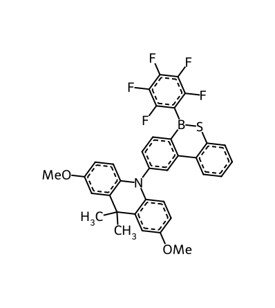 COc1ccc2c(c1)C(C)(C)c1cc(OC)ccc1N2c1ccc2c(c1)-c1ccccc1SB2c1c(F)c(F)c(F)c(F)c1F